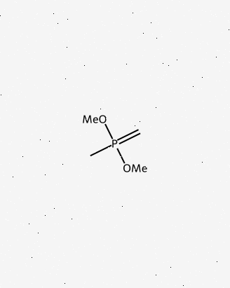 C=P(C)(OC)OC